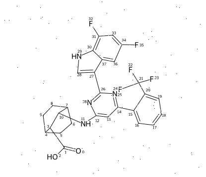 O=C(O)C1C2CCC(CC2)C1Nc1cc(-c2ccccc2C(F)(F)F)nc(-c2c[nH]c3c(F)cc(F)cc23)n1